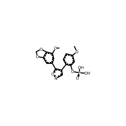 COc1ccc(-c2cnoc2-c2cc(OC)c3c(c2)OCO3)c(OP(=O)(O)O)c1